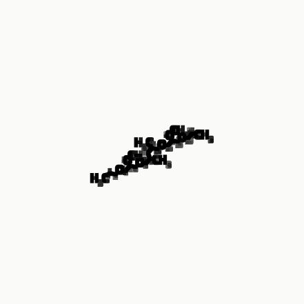 CCCOCC(COCC(C)CC(C)COCC(COCCC)OC)OC